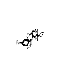 Fc1cc(Br)ccc1Nc1nc(Cl)ncc1Cl